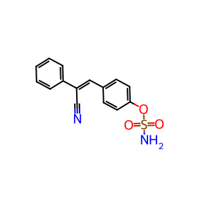 N#C/C(=C\c1ccc(OS(N)(=O)=O)cc1)c1ccccc1